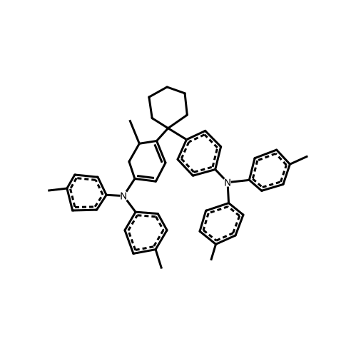 Cc1ccc(N(C2=CC=C(C3(c4ccc(N(c5ccc(C)cc5)c5ccc(C)cc5)cc4)CCCCC3)C(C)C2)c2ccc(C)cc2)cc1